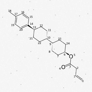 C=CCC(=O)O[C@H]1CC[C@H]([C@H]2CC[C@H](c3ccc(C)cc3)CC2)CC1